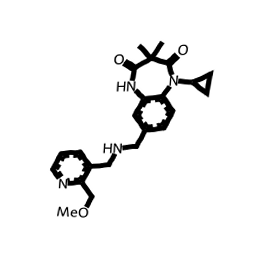 COCc1ncccc1CNCc1ccc2c(c1)NC(=O)C(C)(C)C(=O)N2C1CC1